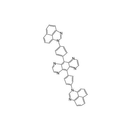 C1=Nc2cccc3cccc(c23)N1c1ccc(-c2c3nccnc3c(-c3ccc(N4C=Nc5cccc6cccc4c56)cc3)c3nccnc23)cc1